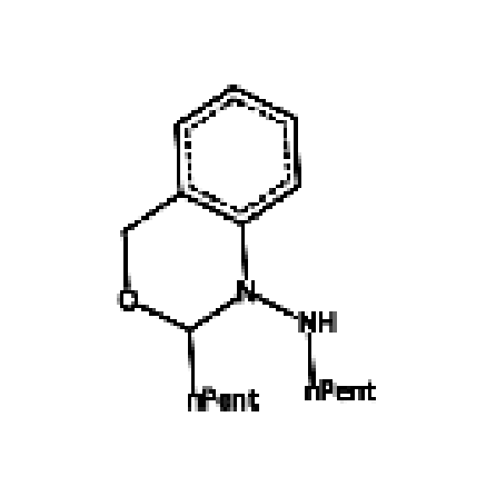 CCCCCNN1c2ccccc2COC1CCCCC